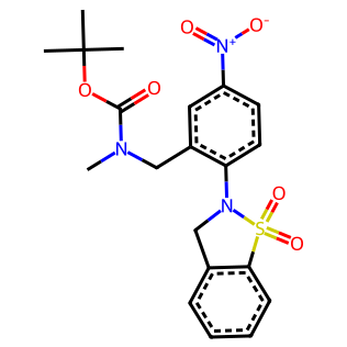 CN(Cc1cc([N+](=O)[O-])ccc1N1Cc2ccccc2S1(=O)=O)C(=O)OC(C)(C)C